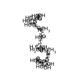 C/C(CCC(=O)N[C@@H](CCCCNC(=O)CC/C(C)=N/OCCO[C@H]1O[C@H](COP(=O)(O)O)[C@@H](O)[C@H](O)[C@@H]1O)C(C)(C)C)=N/CCCO[C@H]1O[C@H](COP(=O)(O)O)[C@@H](O)[C@H](O)[C@@H]1O